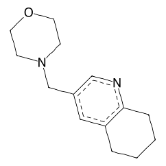 c1nc2c(cc1CN1CCOCC1)CCCC2